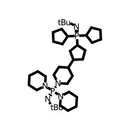 CC(C)(C)N=P(C1CCCC1)(C1CCCC1)C1CCC(C2CCN(P(=NC(C)(C)C)(N3CCCCC3)N3CCCCC3)CC2)C1